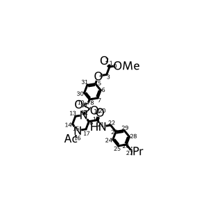 COC(=O)COc1ccc(S(=O)(=O)N2CCN(C(C)=O)CC2C(=O)NCc2ccc(C(C)C)cc2)cc1